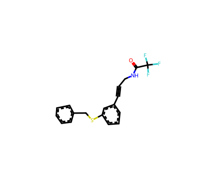 O=C(NCC#Cc1cccc(SCc2ccccc2)c1)C(F)(F)F